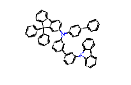 c1ccc(-c2ccc(N(c3cccc(-c4cccc(-n5c6ccccc6c6ccccc65)c4)c3)c3ccc4c(c3)C(c3ccccc3)(c3ccccc3)c3ccccc3-4)cc2)cc1